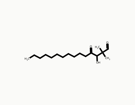 CCCCCCCCCCCC(=O)C(O)C(C)(C)C=O